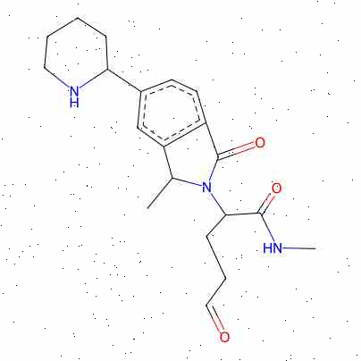 CNC(=O)C(CCC=O)N1C(=O)c2ccc(C3CCCCN3)cc2C1C